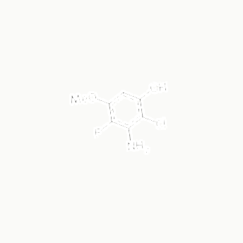 COc1cc(O)c(Cl)c(N)c1F